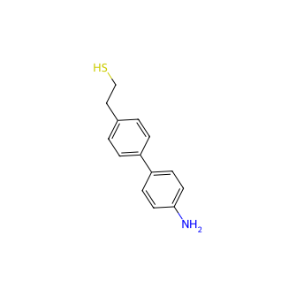 Nc1ccc(-c2ccc(CCS)cc2)cc1